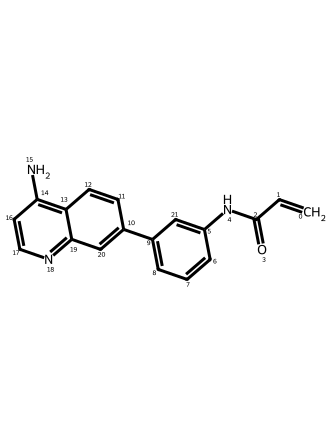 C=CC(=O)Nc1cccc(-c2ccc3c(N)ccnc3c2)c1